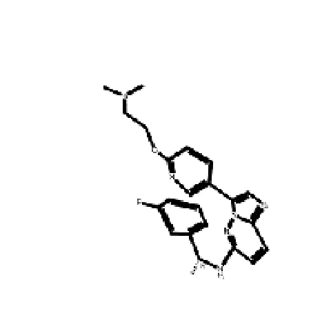 C[C@@H](Nc1ccc2ncc(-c3ccc(OCCN(C)C)nc3)n2n1)c1cccc(F)c1